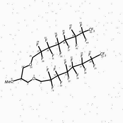 COC(COCC(F)(F)C(F)(F)C(F)(F)C(F)(F)C(F)(F)C(F)(F)C(F)(F)F)COCC(F)(F)C(F)(F)C(F)(F)C(F)(F)C(F)(F)C(F)(F)C(F)(F)F